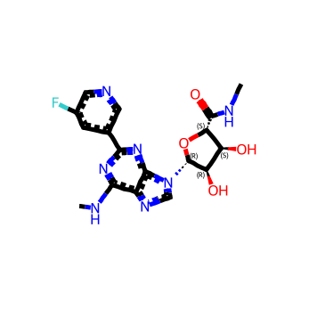 CNC(=O)[C@H]1O[C@@H](n2cnc3c(NC)nc(-c4cncc(F)c4)nc32)[C@H](O)[C@@H]1O